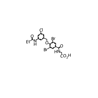 CCC(=O)Nc1cc(Cl)cc(COc2c(Br)cc(C(=O)NCC(=O)O)cc2Br)c1